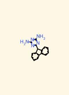 Nc1nc(N)nc(C2c3ccccc3-c3ccccc32)n1